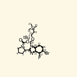 CC(C)(C)OC(=O)N1CCCC1c1nc2c(F)c(Br)ccc2n1COCC[Si](C)(C)C